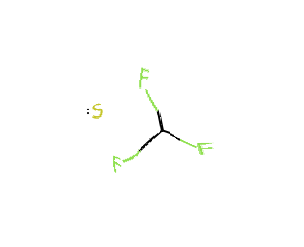 FC(F)F.[S]